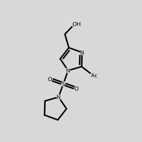 CC(=O)c1nc(CO)cn1S(=O)(=O)N1CCCC1